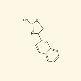 NC1=NC(c2ccc3ccccc3c2)CS1